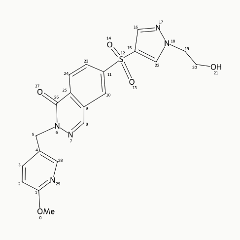 COc1ccc(Cn2ncc3cc(S(=O)(=O)c4cnn(CCO)c4)ccc3c2=O)cn1